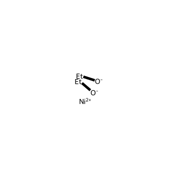 CC[O-].CC[O-].[Ni+2]